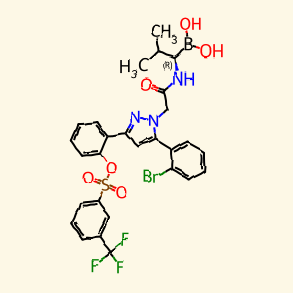 CC(C)[C@H](NC(=O)Cn1nc(-c2ccccc2OS(=O)(=O)c2cccc(C(F)(F)F)c2)cc1-c1ccccc1Br)B(O)O